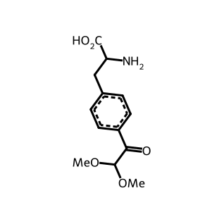 COC(OC)C(=O)c1ccc(CC(N)C(=O)O)cc1